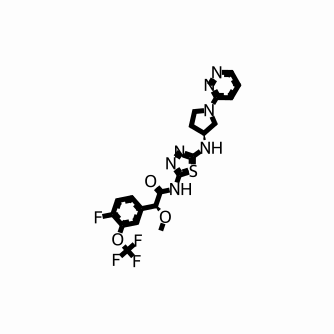 CO[C@H](C(=O)Nc1nnc(N[C@@H]2CCN(c3cccnn3)C2)s1)c1ccc(F)c(OC(F)(F)F)c1